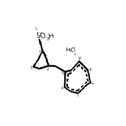 Cl.O=S(=O)(O)C1CC1c1ccccc1